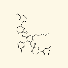 CCCCCc1cc(OP2(=O)OCCC(c3cccc(Cl)c3)O2)c(-c2cccc(C)c2)c(OP2(=O)OCCC(c3cccc(Cl)c3)O2)c1